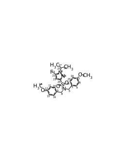 COc1ccc(CN(Cc2ccc(OC)cc2)S(=O)(=O)c2cc(F)n(C(C)C)n2)cc1